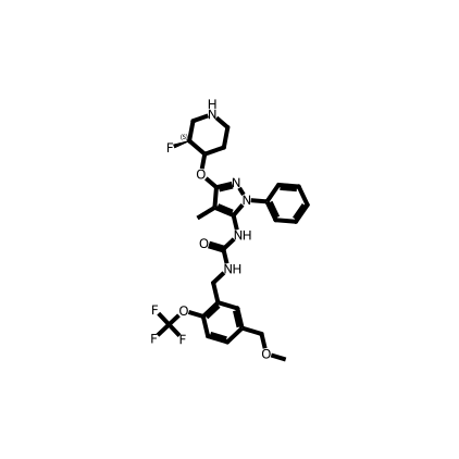 COCc1ccc(OC(F)(F)F)c(CNC(=O)Nc2c(C)c(OC3CCNC[C@@H]3F)nn2-c2ccccc2)c1